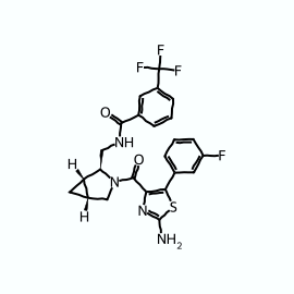 Nc1nc(C(=O)N2C[C@@H]3C[C@@H]3[C@H]2CNC(=O)c2cccc(C(F)(F)F)c2)c(-c2cccc(F)c2)s1